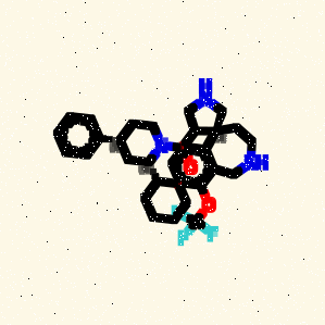 O=C(C1CNC[C@]12CCNCc1c(OC(F)(F)F)cccc12)N1CC[C@@H](c2ccccc2)C[C@H]1C1CCCCC1